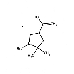 C=C(O)C1CN(C(C)(C)C)C(C)(C)C1